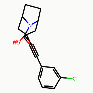 O=C(O)N1C2CCC1CC(O)(C#Cc1cccc(Cl)c1)C2